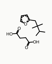 CC(C)C(C)(C)Cc1ccco1.O=C(O)CCC(=O)O